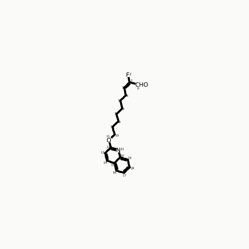 O=C/C(F)=C\CCCCCCCOc1ccc2ccccc2n1